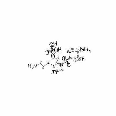 CC(C)CN(C(CCCCN)COP(=O)(O)O)S(=O)(=O)c1ccc(N)c(F)c1